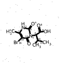 Cc1[nH]c(=O)n(C(C(=O)O)C(C)C)c(=O)c1Br